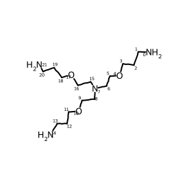 NCCCOCCN(CCOCCCN)CCOCCCN